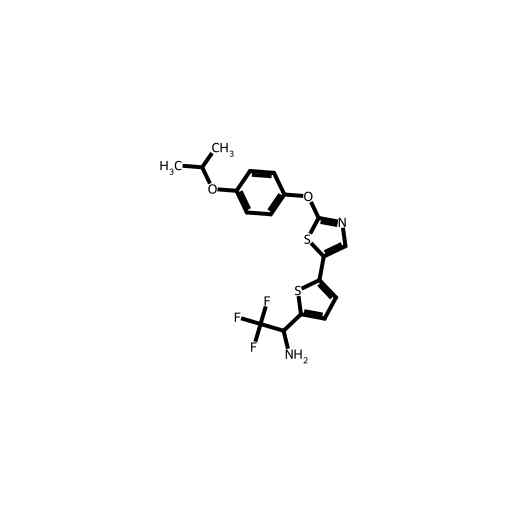 CC(C)Oc1ccc(Oc2ncc(-c3ccc(C(N)C(F)(F)F)s3)s2)cc1